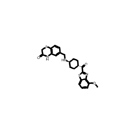 COc1cccc2sc(C(=O)[C@H]3CC[C@H](NCc4ccc5c(c4)NC(=O)CS5)CC3)nc12